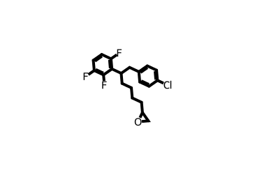 Fc1ccc(F)c(C(CCCCC2CO2)Cc2ccc(Cl)cc2)c1F